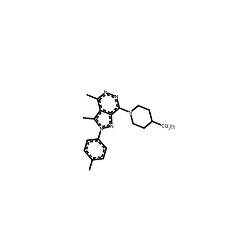 CCOC(=O)C1CCN(c2nnc(C)c3c(C)n(-c4ccc(C)cc4)nc23)CC1